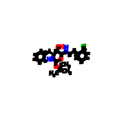 CC(C)(C)OC(=O)N[C@@H](Cc1ccccc1)[C@H](O)CNCCc1ccccc1Cl